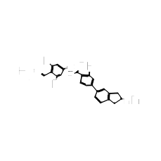 C=Cc1c(F)cc(OC(F)(F)c2ccc(-c3ccc4c(c3)CC(CCC)C4)cc2F)cc1F